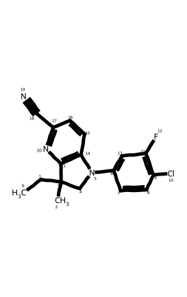 CCC1(C)CN(c2ccc(Cl)c(F)c2)c2ccc(C#N)nc21